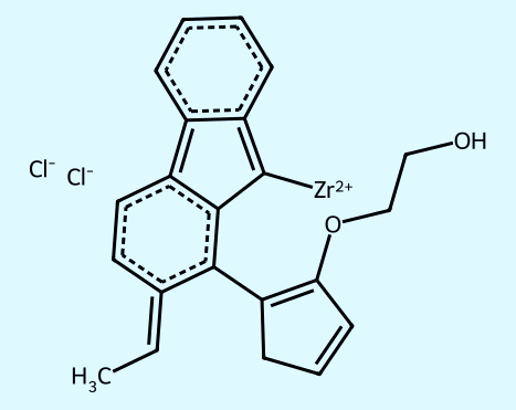 CC=c1ccc2c(c1C1=C(OCCO)C=CC1)[C]([Zr+2])=c1ccccc1=2.[Cl-].[Cl-]